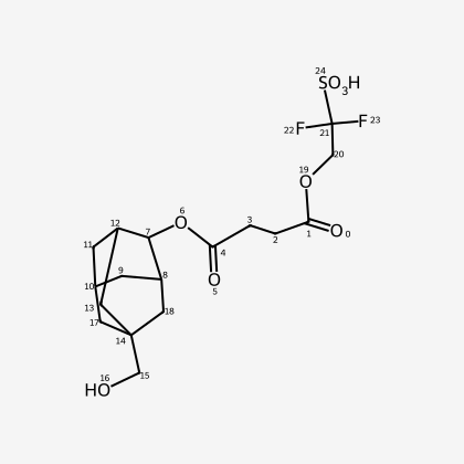 O=C(CCC(=O)OC1C2CC3CC1CC(CO)(C3)C2)OCC(F)(F)S(=O)(=O)O